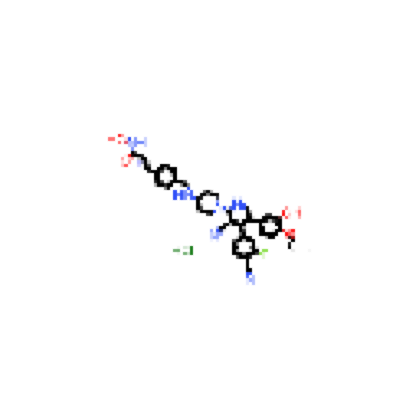 COc1ccc(-c2cnc(N3CCC(NCc4ccc(/C=C/C(=O)NO)cc4)CC3)c(C#N)c2-c2ccc(C#N)c(F)c2)cc1O.Cl